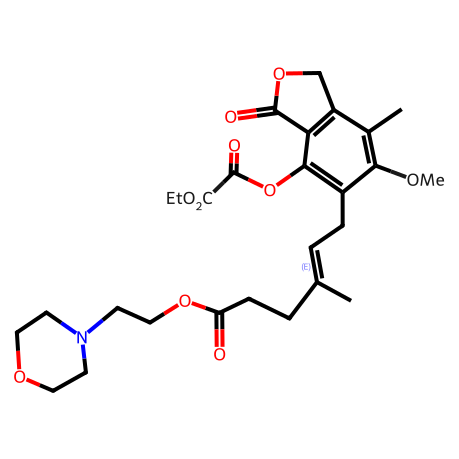 CCOC(=O)C(=O)Oc1c(C/C=C(\C)CCC(=O)OCCN2CCOCC2)c(OC)c(C)c2c1C(=O)OC2